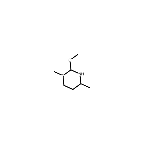 COC1NC(C)CCN1C